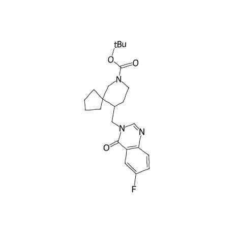 CC(C)(C)OC(=O)N1CCC(Cn2cnc3ccc(F)cc3c2=O)C2(CCCC2)C1